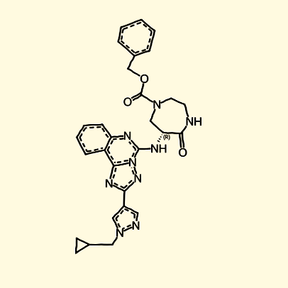 O=C1NCCN(C(=O)OCc2ccccc2)C[C@H]1Nc1nc2ccccc2c2nc(-c3cnn(CC4CC4)c3)nn12